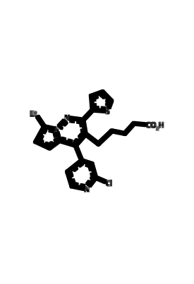 CCc1ccc2c(-c3ccnc(Cl)c3)c(CCCCC(=O)O)c(-c3cccs3)nn12